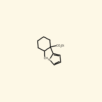 CCOC(=O)C1(c2cccs2)CCCCC1C